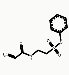 C=CC(=O)NCCS(=O)(=O)Oc1ccccc1